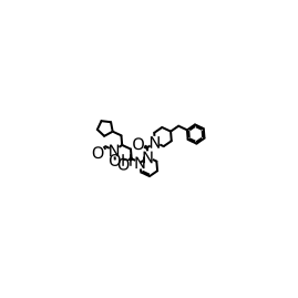 O=CN(O)C(CC(=O)N1C=CCCN1C(=O)N1CCC(Cc2ccccc2)CC1)CC1CCCC1